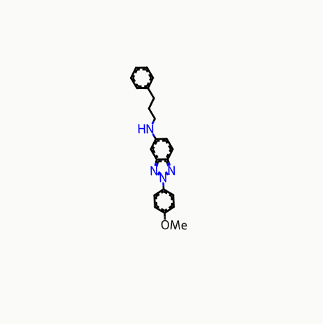 COc1ccc(-n2nc3ccc(NCCCc4ccccc4)cc3n2)cc1